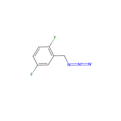 [N-]=[N+]=NCc1cc(F)ccc1F